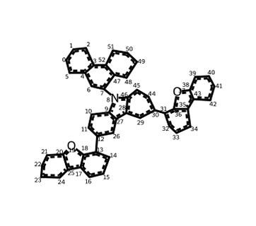 c1ccc2c(c1)cc(-n1c3ccc(-c4cccc5c4oc4ccccc45)cc3c3cc(-c4cccc5c4oc4ccccc45)ccc31)c1ccccc12